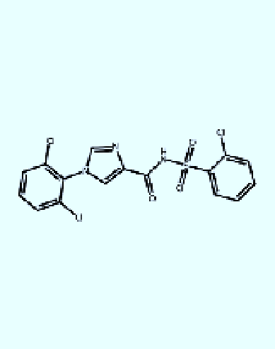 O=C(NS(=O)(=O)c1ccccc1Cl)c1cn(-c2c(Cl)cccc2Cl)cn1